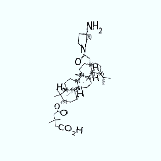 C=C(C)[C@@H]1CC[C@]2(CC(=O)N3CC[C@@H](N)C3)CC[C@]3(C)[C@H](CC[C@@H]4[C@@]5(C)CC[C@H](OC(=O)CC(C)(C)CC(=O)O)C(C)(C)[C@@H]5CC[C@]43C)[C@@H]12